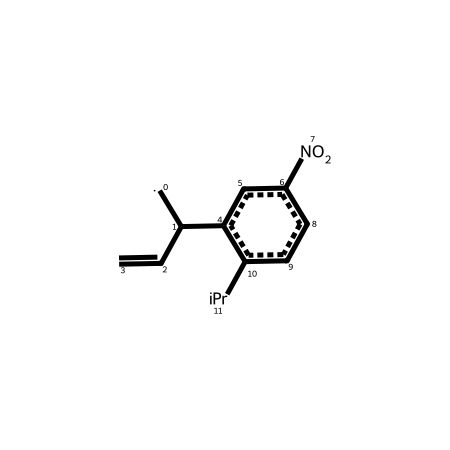 [CH2]C(C=C)c1cc([N+](=O)[O-])ccc1C(C)C